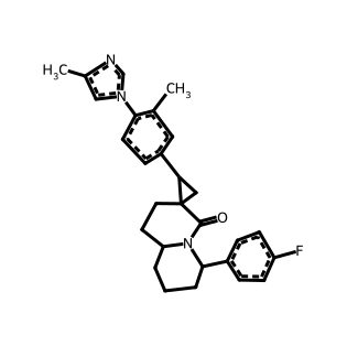 Cc1cn(-c2ccc(C3CC34CCC3CCCC(c5ccc(F)cc5)N3C4=O)cc2C)cn1